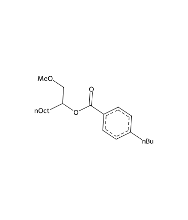 CCCCCCCCC(COC)OC(=O)c1ccc(CCCC)cc1